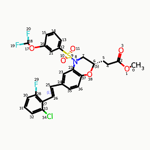 COC(=O)CC[C@H]1CN(S(=O)(=O)c2cccc(OC(F)F)c2)c2cc(/C=C/c3c(F)cccc3Cl)ccc2O1